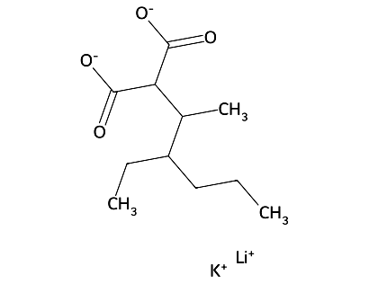 CCCC(CC)C(C)C(C(=O)[O-])C(=O)[O-].[K+].[Li+]